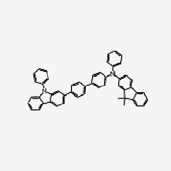 CC1(C)c2ccccc2-c2ccc(N(c3ccccc3)c3ccc(-c4ccc(-c5ccc6c7ccccc7n(-c7ccccc7)c6c5)cc4)cc3)cc21